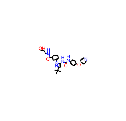 CC(C)(C)c1cc(NC(=O)Nc2ccc(Oc3ccncc3)cc2)n(-c2cccc(C(=O)NCCCO)c2)n1